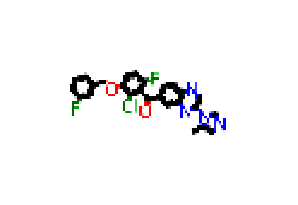 Cc1cncn1-c1cnc2ccc(C(=O)c3c(F)ccc(OCc4cccc(F)c4)c3Cl)cc2n1